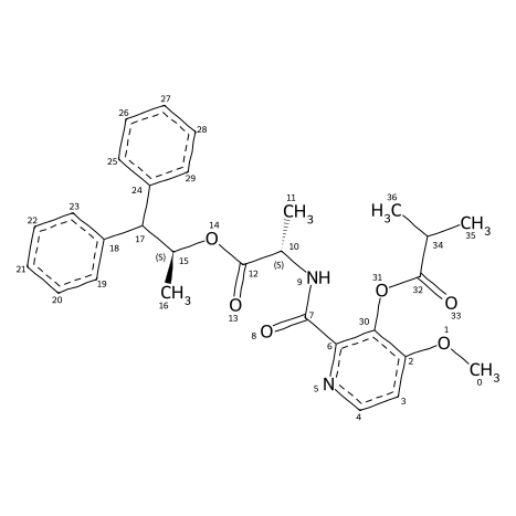 COc1ccnc(C(=O)N[C@@H](C)C(=O)O[C@@H](C)C(c2ccccc2)c2ccccc2)c1OC(=O)C(C)C